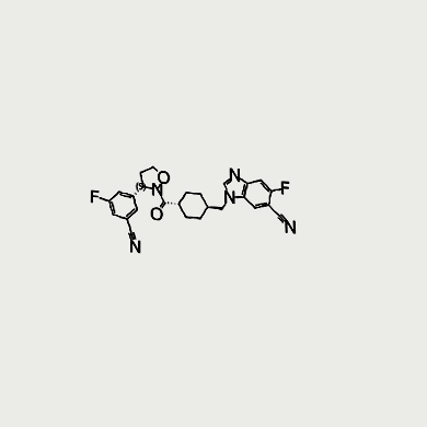 N#Cc1cc(F)cc([C@@H]2CCON2C(=O)[C@H]2CC[C@H](Cn3cnc4cc(F)c(C#N)cc43)CC2)c1